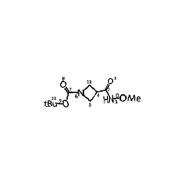 CONC(=O)C1CN(C(=O)OC(C)(C)C)C1